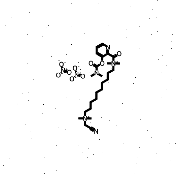 CN(C)C(=O)Oc1cccnc1C(=O)[N+](C)(C)CCCCCCCCCC[N+](C)(C)CC#N.O=[N+]([O-])[O-].O=[N+]([O-])[O-]